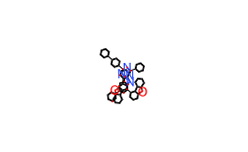 c1ccc(-c2ccc(-c3nc(-c4ccccc4)nc(-c4cc(-c5cccc6oc7cccc(-n8c9ccccc9c9cc(-c%10ccccc%10)ccc98)c7c56)c5c(c4)oc4ccccc45)n3)cc2)cc1